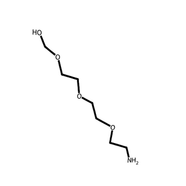 NCCOCCOCCOCO